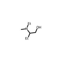 CCC(CO)N(C)CC